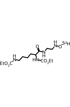 [3H]SONCCNC(=O)C(CCCCNC(=O)OCC)NC(=O)OCC